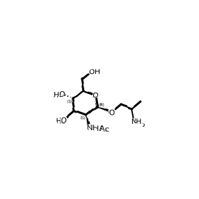 CC(=O)N[C@H]1C(O)[C@H](O)C(CO)O[C@H]1OCC(C)N